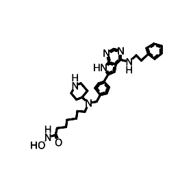 O=C(CCCCCCN(Cc1ccc(-c2cc3c(NCCc4ccccc4)ncnc3[nH]2)cc1)C1CCNCC1)NO